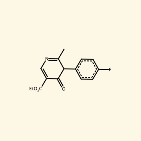 CCOC(=O)C1=CN=C(C)C(c2ccc(F)cc2)C1=O